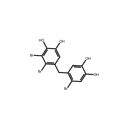 Oc1cc(Br)c(Cc2cc(O)c(O)c(Br)c2Br)cc1O